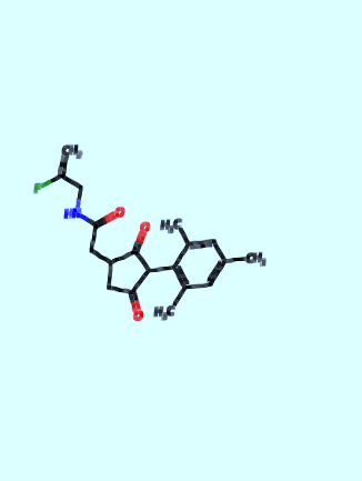 C=C(F)CNC(=O)CC1CC(=O)C(c2c(C)cc(C)cc2C)C1=O